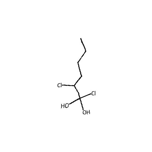 CCCCC(Cl)C(O)(O)Cl